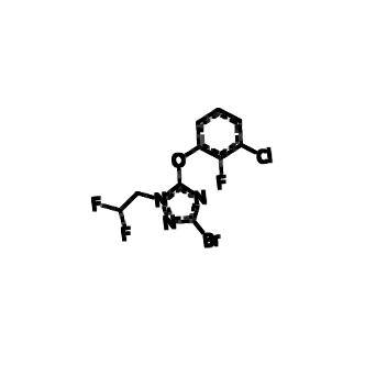 Fc1c(Cl)cccc1Oc1nc(Br)nn1CC(F)F